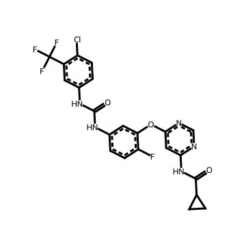 O=C(Nc1ccc(F)c(Oc2cc(NC(=O)C3CC3)ncn2)c1)Nc1ccc(Cl)c(C(F)(F)F)c1